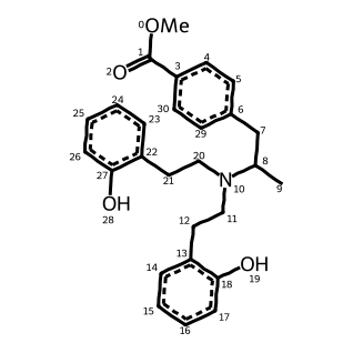 COC(=O)c1ccc(CC(C)N(CCc2ccccc2O)CCc2ccccc2O)cc1